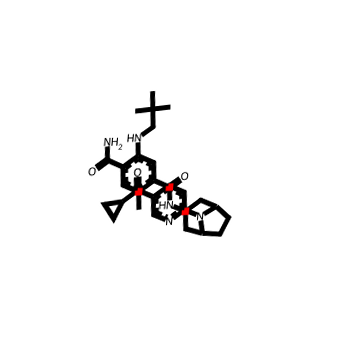 Cc1cc(C(N)=O)c(NCC(C)(C)C)cc1C(=O)NC1CC2CCC(C1)N2c1ccc(C(=O)C2CC2)cn1